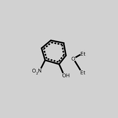 CCOCC.O=[N+]([O-])c1ccccc1O